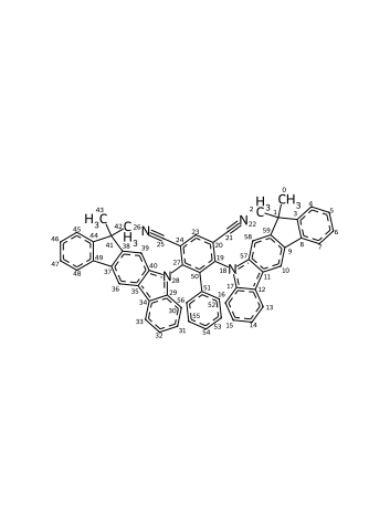 CC1(C)c2ccccc2-c2cc3c4ccccc4n(-c4c(C#N)cc(C#N)c(-n5c6ccccc6c6cc7c(cc65)C(C)(C)c5ccccc5-7)c4-c4ccccc4)c3cc21